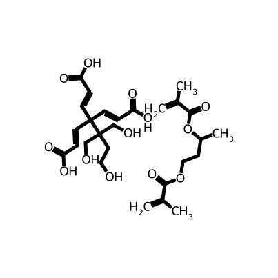 C=C(C)C(=O)OCCC(C)OC(=O)C(=C)C.O=C(O)C=CC(C=CC(=O)O)(C=CC(=O)O)C(CO)(CO)CCO